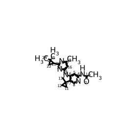 CC(=O)Nc1cc2c(cn1)C1(CC1)CN2c1cc(C)nc(C2CC2(C)C)n1